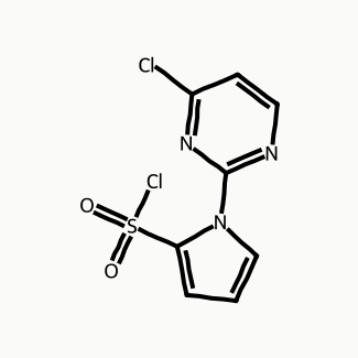 O=S(=O)(Cl)c1cccn1-c1nccc(Cl)n1